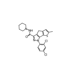 Cc1cc2c(s1)-c1c(c(C(=O)NN3CCCCC3)nn1-c1ccc(Cl)cc1Cl)C2